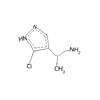 CC(N)c1cn[nH]c1Cl